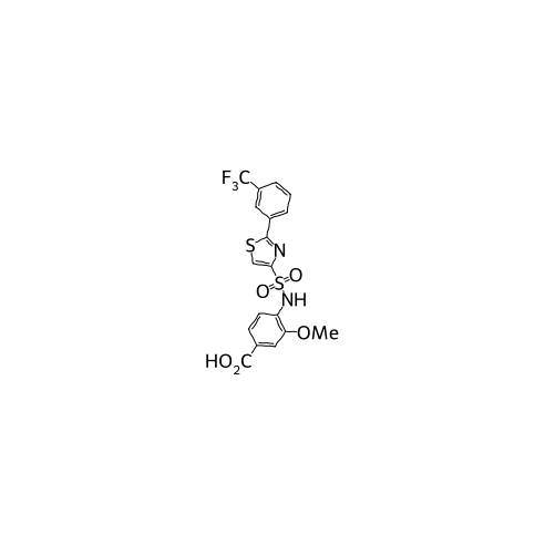 COc1cc(C(=O)O)ccc1NS(=O)(=O)c1csc(-c2cccc(C(F)(F)F)c2)n1